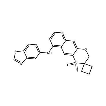 O=S1(=O)c2cc3c(Nc4ccc5scnc5c4)ccnc3cc2OCC12CCC2